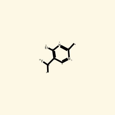 CCc1nc(C)ncc1C(C)F